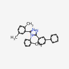 Cc1ccc(C)c(-c2nnc(-c3cccc(-c4ccccc4)c3)n2-c2ccccc2C)c1